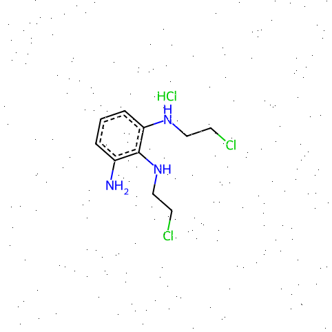 Cl.Nc1cccc(NCCCl)c1NCCCl